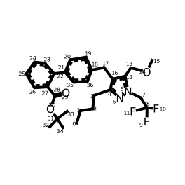 CCCCc1nn(CC(F)(F)F)c(COC)c1Cc1ccc(-c2ccccc2C(=O)OC(C)(C)C)cc1